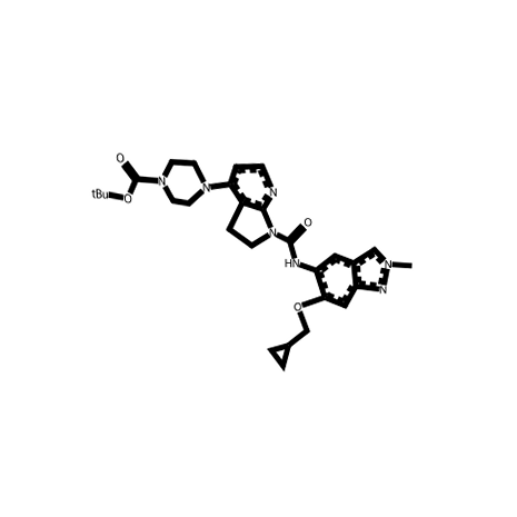 Cn1cc2cc(NC(=O)N3CCc4c(N5CCN(C(=O)OC(C)(C)C)CC5)ccnc43)c(OCC3CC3)cc2n1